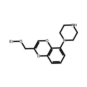 CCOCC1=COc2c(cccc2N2CCNCC2)O1